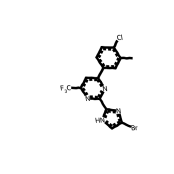 Cc1cc(-c2cc(C(F)(F)F)nc(-c3nc(Br)c[nH]3)n2)ccc1Cl